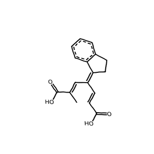 CC(=CC(C=CC(=O)O)=C1CCc2ccccc21)C(=O)O